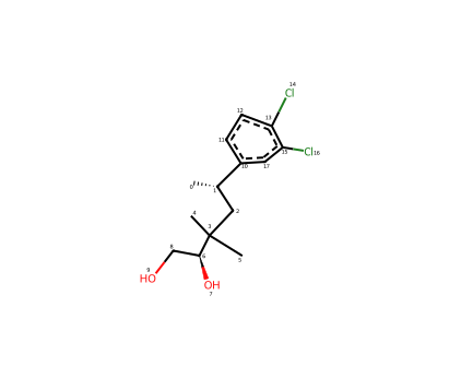 C[C@@H](CC(C)(C)[C@@H](O)CO)c1ccc(Cl)c(Cl)c1